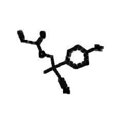 C=CC(=O)OCC(C)(C#N)c1ccc(Br)cc1